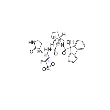 CS(=O)(=O)/C(F)=C/[C@H](C[C@@H]1CCNC1=O)NC(=O)[C@H]1[C@@H]2CCC[C@@H]2CN1C(=O)C1(O)c2ccccc2-c2ccccc21